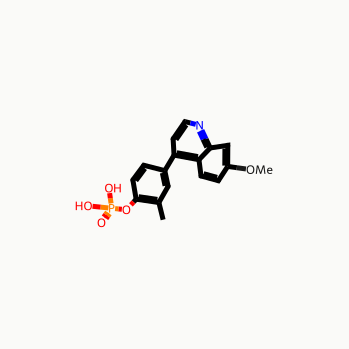 COc1ccc2c(-c3ccc(OP(=O)(O)O)c(C)c3)ccnc2c1